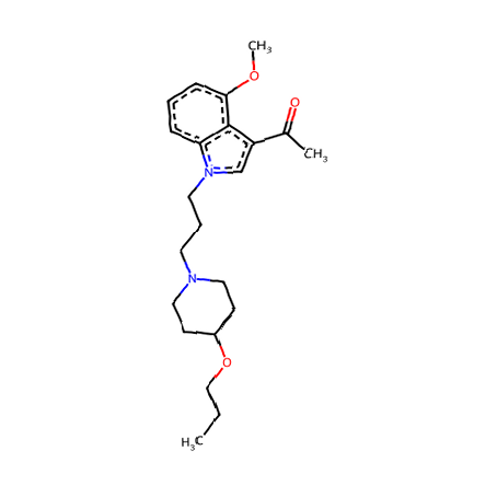 CCCOC1CCN(CCCn2cc(C(C)=O)c3c(OC)cccc32)CC1